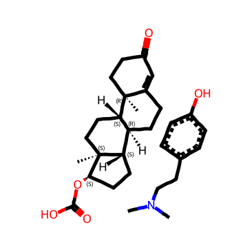 CN(C)CCc1ccc(O)cc1.C[C@]12CC[C@H]3[C@@H](CCC4=CC(=O)CC[C@@]43C)[C@@H]1CC[C@@H]2OC(=O)O